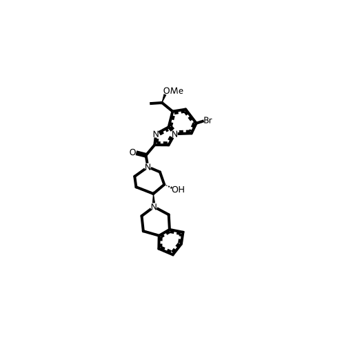 CO[C@H](C)c1cc(Br)cn2cc(C(=O)N3CC[C@H](N4CCc5ccccc5C4)[C@@H](O)C3)nc12